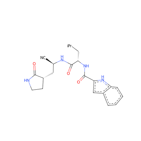 CC(C)C[C@H](NC(=O)c1cc2ccccc2[nH]1)C(=O)N[C@H](C#N)C[C@@H]1CCNC1=O